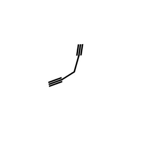 C#CCC#C